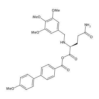 COc1ccc(-c2ccc(C(=O)OC(=O)[C@H](CCC(N)=O)NCc3cc(OC)c(OC)c(OC)c3)cc2)cc1